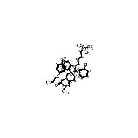 C=CCOc1ccc(I)cc1[C@H]1N2CC(=O)N(C)N=C2C[C@@H](c2cccc(Cl)c2)[C@]12C(=O)N(COCC[Si](C)(C)C)c1cc(Cl)ccc12